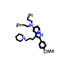 COc1ccc(-c2nn3ccc(N(CCC(C)C)CCC(C)C)cc3c2CCCN2CCCCC2)cc1